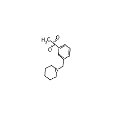 CS(=O)(=O)c1cccc(CN2CCCCC2)c1